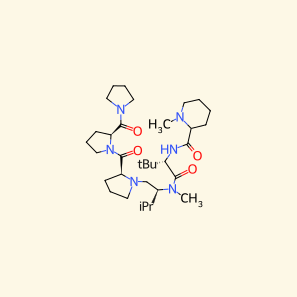 CC(C)[C@@H](CN1CCC[C@H]1C(=O)N1CCC[C@H]1C(=O)N1CCCC1)N(C)C(=O)[C@@H](NC(=O)C1CCCCN1C)C(C)(C)C